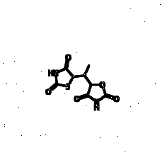 C[C](C1OC(=O)NC1=O)C1SC(=O)NC1=O